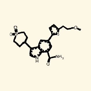 COCCc1ccc(-c2cc(C(N)=O)c3[nH]cc(C4CCS(=O)(=O)CC4)c3c2)s1